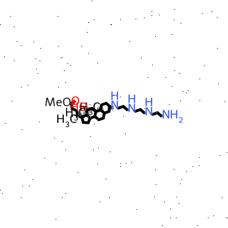 COC(=O)CC[C@@H](C)C1CCC2C3CCC4C[C@@H](NCCCNCCCNCCCN)CC[C@]4(C)C3C[C@H](O)[C@@]21C